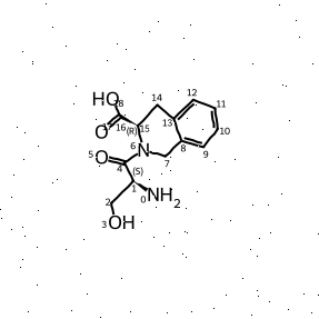 N[C@@H](CO)C(=O)N1Cc2ccccc2C[C@@H]1C(=O)O